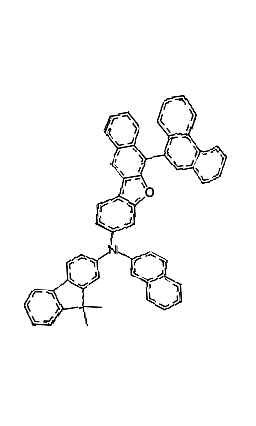 CC1(C)c2ccccc2-c2ccc(N(c3ccc4ccccc4c3)c3ccc4c(c3)oc3c(-c5cc6ccccc6c6ccccc56)c5ccccc5cc34)cc21